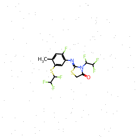 Cc1cc(F)c(/N=C2\SCC(=O)N2C(F)C(F)F)cc1SC(F)C(F)F